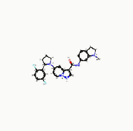 CC(=O)N1CCc2ccc(NC(=O)c3cnn4ccc(N5CCC[C@@H]5c5cc(F)ccc5F)cc34)cc21